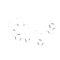 Cc1ncsc1-c1ccc([C@H](C)NC(=O)[C@@H]2C[C@@H](O)CN2C(=O)[C@@H](NC(=O)CCOCCN(CCc2c[nH]c3ccccc23)Cc2ccccc2)C(C)(C)C)cc1